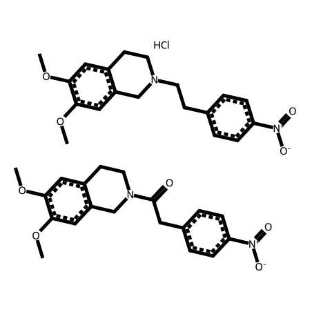 COc1cc2c(cc1OC)CN(C(=O)Cc1ccc([N+](=O)[O-])cc1)CC2.COc1cc2c(cc1OC)CN(CCc1ccc([N+](=O)[O-])cc1)CC2.Cl